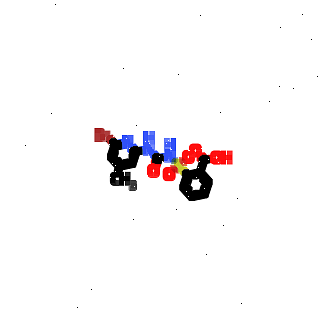 Cc1cc(Br)nc(NC(=O)NS(=O)(=O)c2ccccc2C(=O)O)c1